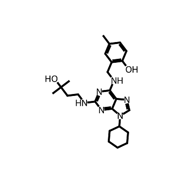 Cc1ccc(O)c(CNc2nc(NCCC(C)(C)O)nc3c2ncn3C2CCCCC2)c1